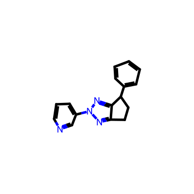 c1ccc(C2CCc3nn(-c4cccnc4)nc32)cc1